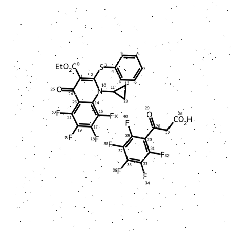 CCOC(=O)c1c(Sc2ccccc2)n(C2CC2)c2c(F)c(F)c(F)c(F)c2c1=O.O=C(O)CC(=O)c1c(F)c(F)c(F)c(F)c1F